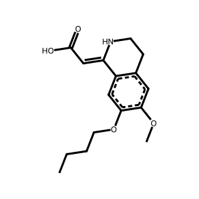 CCCCOc1cc2c(cc1OC)CCN/C2=C\C(=O)O